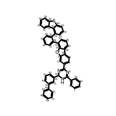 c1ccc(C2=NC(c3ccc4c(c3)oc3c(-c5ccccc5-c5cccc6sc7ccccc7c56)cccc34)=NC(c3cccc(-c4ccccc4)c3)N2)cc1